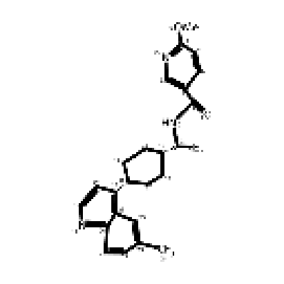 CCC(NC(=O)c1ccc(OC)nc1)[C@H]1CC[C@@H](c2ccnc3ccc(C(F)(F)F)cc32)CC1